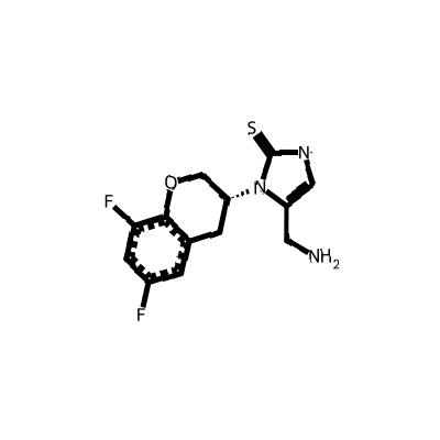 NCC1=C[N]C(=S)N1[C@H]1COc2c(F)cc(F)cc2C1